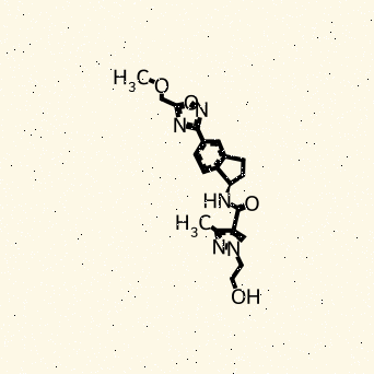 COCc1nc(-c2ccc3c(c2)CC[C@H]3NC(=O)c2cn(CCO)nc2C)no1